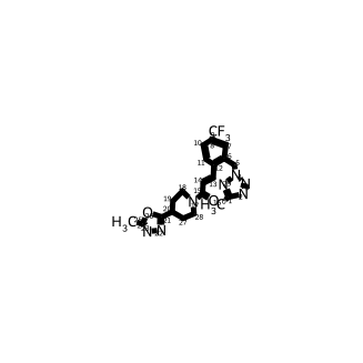 Cc1nnn(Cc2cc(C(F)(F)F)ccc2C=CC(=O)N2CCC(c3nnc(C)o3)CC2)n1